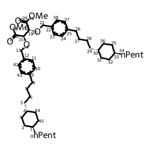 CCCCC[C@H]1CC[C@H](CCCCc2ccc(CO[C@@H](C(=O)OC)[C@@H](OCc3ccc(CCCC[C@H]4CC[C@H](CCCCC)CC4)cc3)C(=O)OC)cc2)CC1